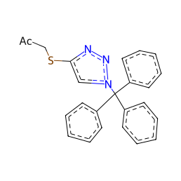 CC(=O)CSc1cn(C(c2ccccc2)(c2ccccc2)c2ccccc2)nn1